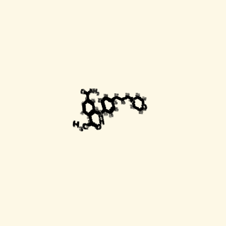 CC(=O)c1ccc(C(N)=O)cc1Nc1ccc(CCCN2CCOCC2)cc1